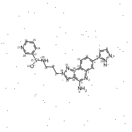 Nc1nc2cc(-c3ccn[nH]3)ccc2c2nn(CCCN[S+]([O-])c3cccnc3)cc12